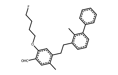 Cc1cc(C=O)c(OCCCCF)cc1CCc1cccc(-c2ccccc2)c1C